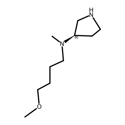 COCCCCN(C)[C@@H]1CCNC1